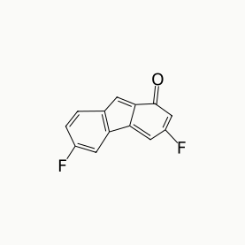 O=C1C=C(F)C=C2C1=Cc1ccc(F)cc12